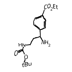 CCOC(=O)c1ccc(C(N)CCNC(=O)OC(C)(C)C)cc1